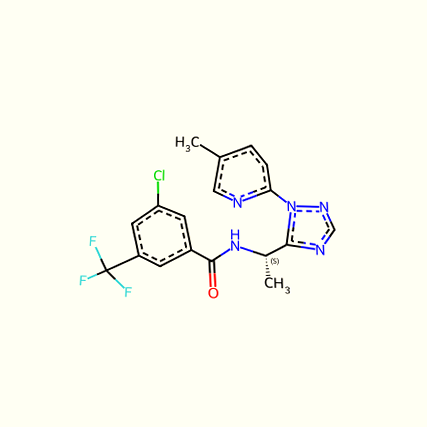 Cc1ccc(-n2ncnc2[C@H](C)NC(=O)c2cc(Cl)cc(C(F)(F)F)c2)nc1